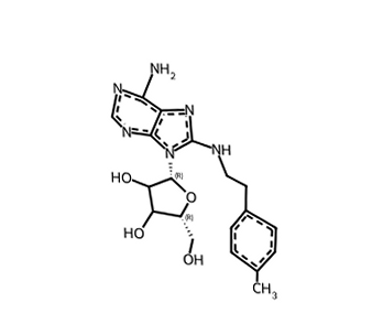 Cc1ccc(CCNc2nc3c(N)ncnc3n2[C@@H]2O[C@H](CO)C(O)C2O)cc1